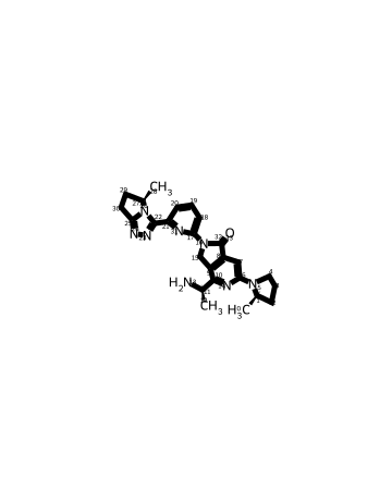 C[C@@H]1CCCN1c1cc2c(c([C@@H](C)N)n1)CN(c1cccc(-c3nnc4n3[C@H](C)CC4)n1)C2=O